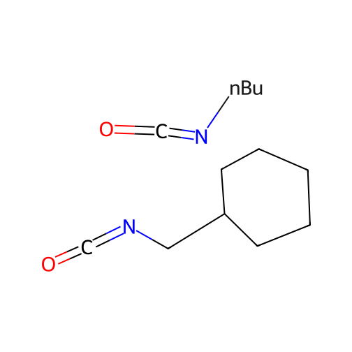 CCCCN=C=O.O=C=NCC1CCCCC1